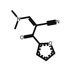 CN(C)/C=C(/C#N)C(=O)c1ccco1